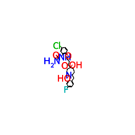 NC(=O)Nc1cc(Cl)ccc1OCCC(=O)C1(O)CCC(Cc2ccc(F)cc2)N(O)CC1